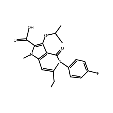 CCc1cc2c(c(OC(C)C)c(C(=O)O)n2C)c(=O)n1-c1ccc(F)cc1